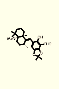 CN[C@@]12CC[C@@H](C)/C(=C\c3cc4c(c(C=O)c3O)OC(C)(C)O4)[C@@]1(C)CCCC2(C)C